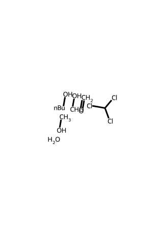 C=O.CCCCO.CO.ClC(Cl)Cl.O.O=CO